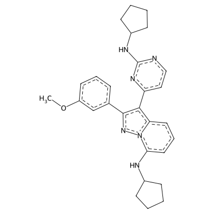 COc1cccc(-c2nn3c(NC4CCCC4)cccc3c2-c2ccnc(NC3CCCC3)n2)c1